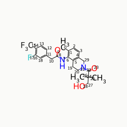 Cc1ccc2c(c1NC(=O)Cc1ccc(C(F)(F)F)c(F)c1)CCN(C(=O)C(C)(C)CO)C2